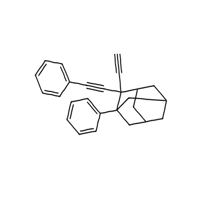 C#CC1(C#Cc2ccccc2)C2CC3CC(C2)CC1(c1ccccc1)C3